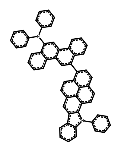 c1ccc(N(c2ccccc2)c2cc3c4ccccc4c(-c4ccc5ccc6c7c(ccc4c57)cc4c5ccccc5n(-c5ccccc5)c46)cc3c3ccccc23)cc1